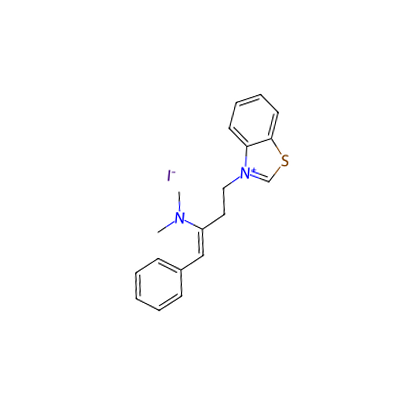 CN(C)C(=Cc1ccccc1)CC[n+]1csc2ccccc21.[I-]